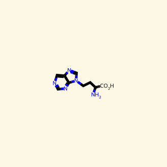 NC(CCn1cnc2cncnc21)C(=O)O